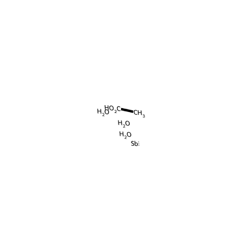 CC(=O)O.O.O.O.[Sb]